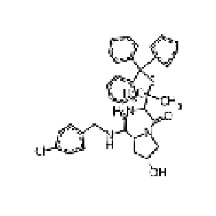 CC(C)(SC(c1ccccc1)(c1ccccc1)c1ccccc1)C(N)C(=O)N1C[C@H](O)C[C@H]1C(=O)NCc1ccc(Cl)cc1